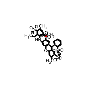 C=c1cc2c(cc1S(=O)(=O)Cl)=C(c1ccccc1S(=O)(=O)Cl)c1cc(S(=O)(=O)Cl)c(Nc3c(CC)cc(C)c(S(=O)(=O)Cl)c3CC)cc1O2